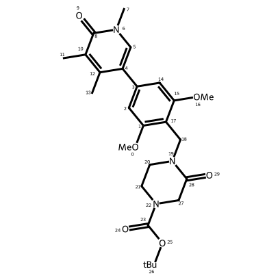 COc1cc(-c2cn(C)c(=O)c(C)c2C)cc(OC)c1CN1CCN(C(=O)OC(C)(C)C)CC1=O